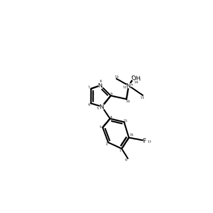 Cc1ccc(-n2ccnc2C[N+](C)(C)O)cc1F